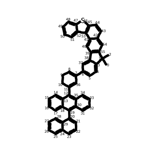 CC1(C)c2ccc(C3=CCCC(c4c5ccccc5c(-c5cccc6ccccc56)c5ccccc45)=C3)cc2-c2cc3c(ccc4sc5ccccc5c43)cc21